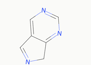 C1=NCc2ncncc21